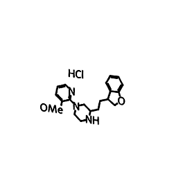 COc1cccnc1N1CCNC(CCC2COc3ccccc32)C1.Cl